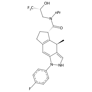 CCCN(C[C@@H](O)C(F)(F)F)C(=O)[C@H]1CCC2=C1[C@@H](C)C1=CNN(c3ccc(F)cc3)C1=C2